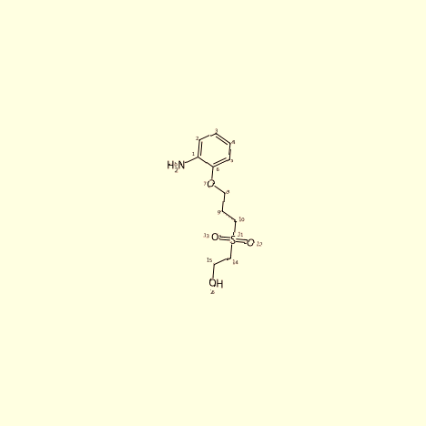 Nc1ccccc1OCCCS(=O)(=O)CCO